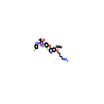 COc1cc2c(Oc3ccc(NC(=O)C4(C(=O)Nc5ccc(F)cc5)CC4)cc3F)ccnc2cc1OCCCCCN